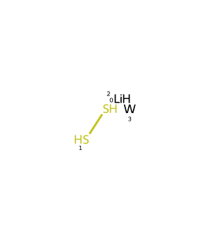 SS.[LiH].[W]